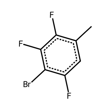 Cc1cc(F)c(Br)c(F)c1F